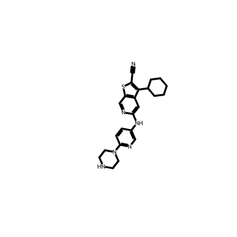 N#Cc1sc2cnc(Nc3ccc(N4CCNCC4)nc3)cc2c1C1CCCCC1